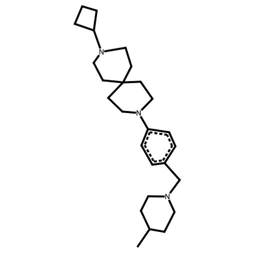 CC1CCN(Cc2ccc(N3CCC4(CC3)CCN(C3CCC3)CC4)cc2)CC1